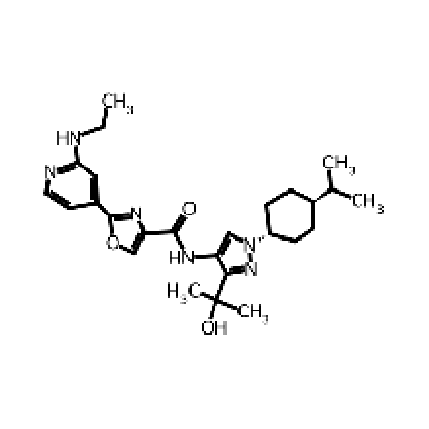 CCNc1cc(-c2nc(C(=O)Nc3cn([C@H]4CC[C@H](C(C)C)CC4)nc3C(C)(C)O)co2)ccn1